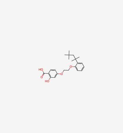 CC(C)(C)CC(C)(C)c1ccccc1OCCOc1ccc(C(=O)O)c(O)c1